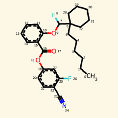 CCCCCCC1(C(F)Oc2ccccc2C(=O)Oc2ccc(C#N)c(F)c2)CCCCC1